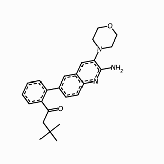 CC(C)(C)CC(=O)c1ccccc1-c1ccc2nc(N)c(N3CCOCC3)cc2c1